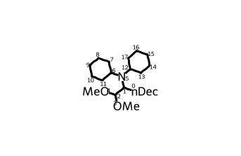 CCCCCCCCCCC(C(OC)OC)N(C1CCCCC1)C1CCCCC1